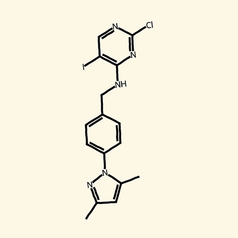 Cc1cc(C)n(-c2ccc(CNc3nc(Cl)ncc3I)cc2)n1